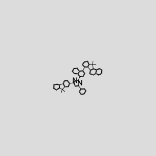 CC1(C)c2ccccc2-c2ccc(-c3cc(-c4ccccc4)nc(-c4ccc(-c5cccc6c5-c5ccc7ccccc7c5C6(C)C)c5ccccc45)n3)cc21